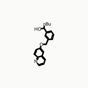 CCCCC(O)c1cccc(COc2ccc3ncccc3c2)c1